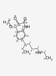 CCNCCCC(CC)c1ccc2c(c1)NC(=O)C(=O)C2OC